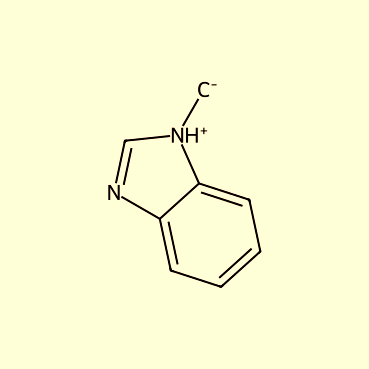 [CH2-][NH+]1C=Nc2ccccc21